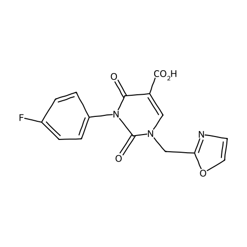 O=C(O)c1cn(Cc2ncco2)c(=O)n(-c2ccc(F)cc2)c1=O